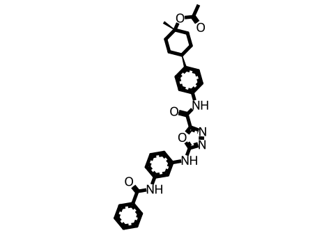 CC(=O)O[C@]1(C)CC[C@@H](c2ccc(NC(=O)c3nnc(Nc4cccc(NC(=O)c5ccccc5)c4)o3)cc2)CC1